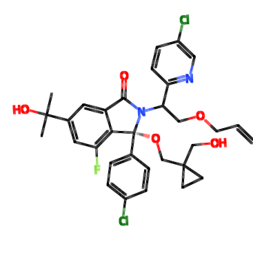 C=CCOCC(c1ccc(Cl)cn1)N1C(=O)c2cc(C(C)(C)O)cc(F)c2[C@]1(OCC1(CO)CC1)c1ccc(Cl)cc1